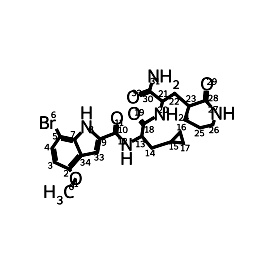 COc1ccc(Br)c2[nH]c(C(=O)NC(CC3CC3)C(=O)NC(CC3CCCNC3=O)C(N)=O)cc12